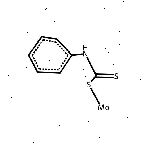 S=C(Nc1ccccc1)[S][Mo]